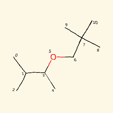 CC(C)C(C)OCC(C)(C)C